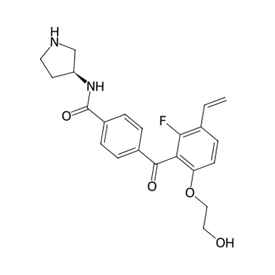 C=Cc1ccc(OCCO)c(C(=O)c2ccc(C(=O)N[C@H]3CCNC3)cc2)c1F